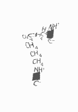 C.C.C.C.C.C.[C-]#[NH+].[C-]#[NH+]